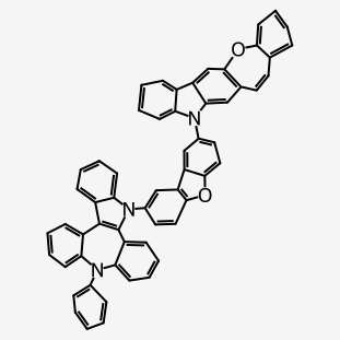 C1=Cc2cc3c(cc2Oc2ccccc21)c1ccccc1n3-c1ccc2oc3ccc(-n4c5c(c6ccccc64)-c4ccccc4N(c4ccccc4)c4ccccc4-5)cc3c2c1